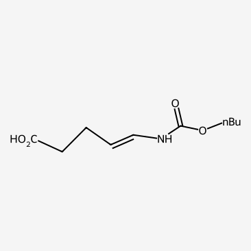 CCCCOC(=O)NC=CCCC(=O)O